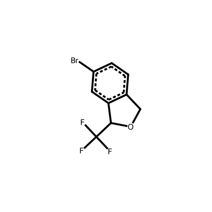 FC(F)(F)C1OCc2ccc(Br)cc21